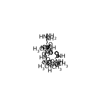 CC(=O)N[C@@H](Cc1c[nH]c2ccccc12)C(=O)N[C@@H](C)C(=O)N[C@@H](C)C(=O)N1CCC[C@H]1C(=O)N[C@@H](Cc1ccccc1)C(=O)N[C@@H](CC(C)C)C(=O)N[C@@H](CCCNC(=N)N)C(=O)O